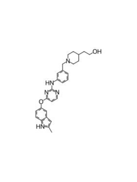 Cc1cc2cc(Oc3ccnc(Nc4cccc(CN5CCC(CCO)CC5)c4)n3)ccc2[nH]1